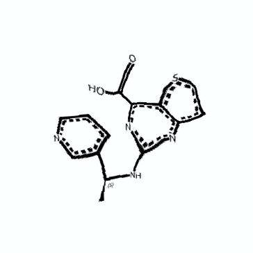 C[C@H](Nc1nc(C(=O)O)c2sccc2n1)c1cccnc1